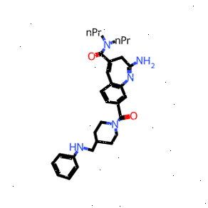 CCCN(CCC)C(=O)C1=Cc2ccc(C(=O)N3CCC(CNc4ccccc4)CC3)cc2N=C(N)C1